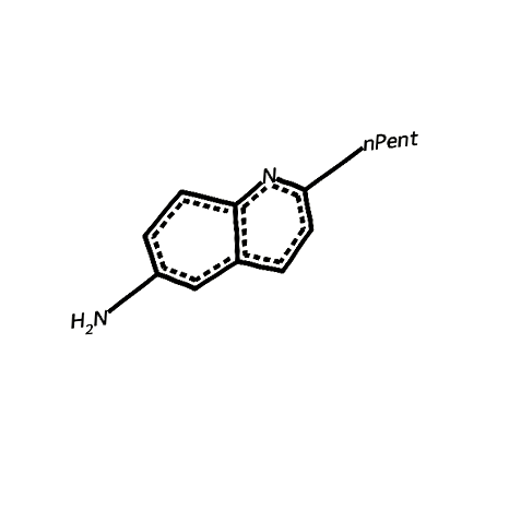 CCCCCc1ccc2cc(N)ccc2n1